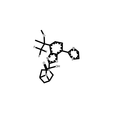 COC(C)(c1ccc(-c2nccs2)c2oc(N3CC4CC(C3)N4C(=O)O)nc12)C(F)(F)F